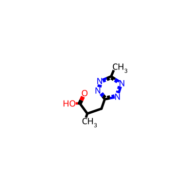 Cc1nnc(CC(C)C(=O)O)nn1